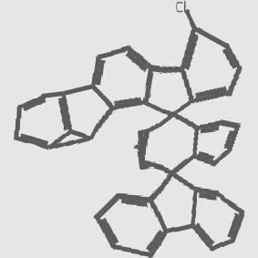 Clc1cccc2c1-c1ccc3c(c1C21c2ccccc2C2(c4ccccc4-c4ccccc42)c2ccccc21)C1c2cccc-3c21